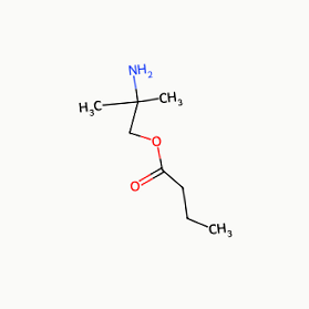 CCCC(=O)OCC(C)(C)N